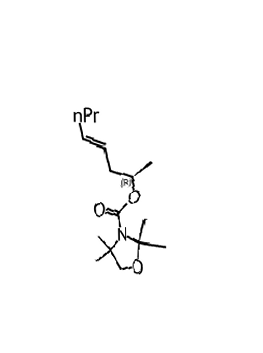 CCCC=CC[C@@H](C)OC(=O)N1C(C)(C)COC1(C)C